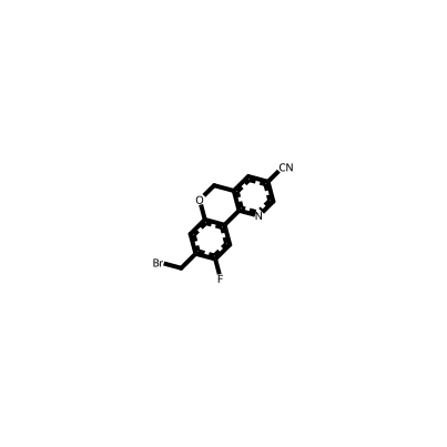 N#Cc1cnc2c(c1)COc1cc(CBr)c(F)cc1-2